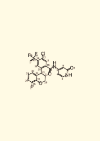 O=C(Nc1cc[nH]c(=O)c1)c1cc(Cl)c(C(F)(F)F)cc1C1CCOc2c(F)cccc21